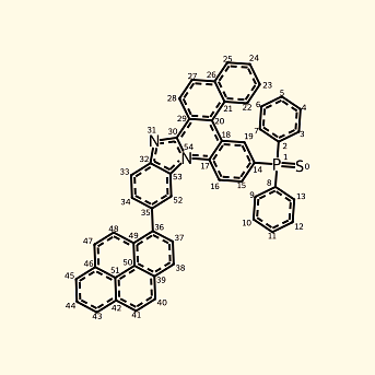 S=P(c1ccccc1)(c1ccccc1)c1ccc2c(c1)c1c3ccccc3ccc1c1nc3ccc(-c4ccc5ccc6cccc7ccc4c5c67)cc3n21